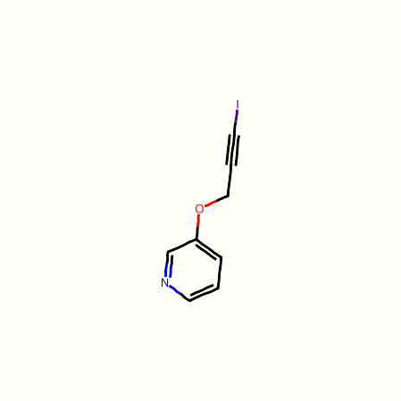 IC#CCOc1cccnc1